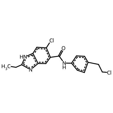 CCc1nc2cc(C(=O)Nc3ccc(CCCl)cc3)c(Cl)cc2[nH]1